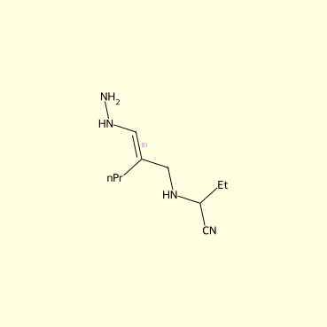 CCC/C(=C\NN)CNC(C#N)CC